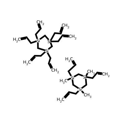 C=CC[Si]1(C)C[Si](C)(CC=C)C[Si](C)(CC=C)C1.C=CC[Si]1(CC=C)C[Si](CC=C)(CC=C)C[Si](CC=C)(CC=C)C1